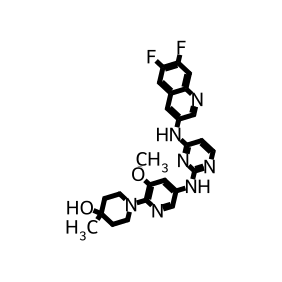 COc1cc(Nc2nccc(Nc3cnc4cc(F)c(F)cc4c3)n2)cnc1N1CCC(C)(O)CC1